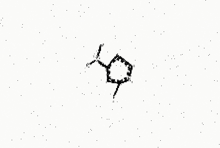 C[S+]([O-])c1[c]cnc(F)c1